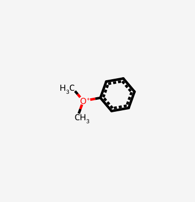 C[O+](C)c1ccccc1